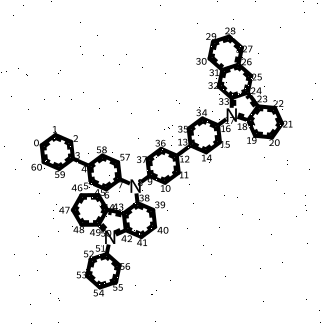 c1ccc(-c2ccc(N(c3ccc(-c4ccc(-n5c6ccccc6c6cc7ccccc7cc65)cc4)cc3)c3cccc4c3c3ccccc3n4-c3ccccc3)cc2)cc1